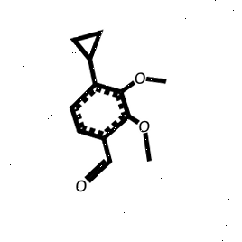 COc1c(C=O)ccc(C2CC2)c1OC